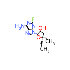 CC#C[C@@]1(CC)CC(O)[C@H](n2cnc3c(N)nc(F)nc32)O1